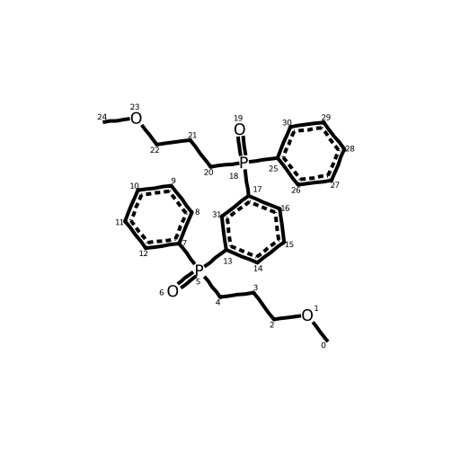 COCCCP(=O)(c1ccccc1)c1cccc(P(=O)(CCCOC)c2ccccc2)c1